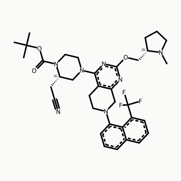 CN1CCC[C@H]1COc1nc2c(c(N3CCN(C(=O)OC(C)(C)C)[C@@H](CC#N)C3)n1)CCN(c1cccc3cccc(C(F)(F)F)c13)C2